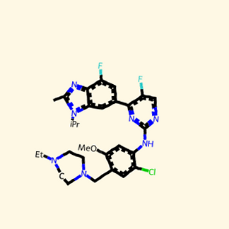 CCN1CCN(Cc2cc(Cl)c(Nc3ncc(F)c(-c4cc(F)c5nc(C)n(C(C)C)c5c4)n3)cc2OC)CC1